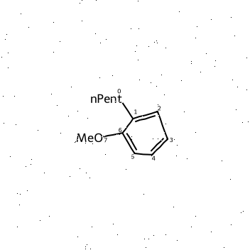 CCCCCc1ccccc1OC